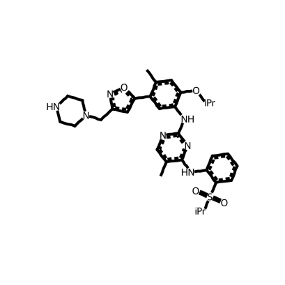 Cc1cc(OC(C)C)c(Nc2ncc(C)c(Nc3ccccc3S(=O)(=O)C(C)C)n2)cc1-c1cc(CN2CCNCC2)no1